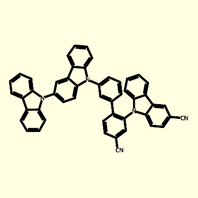 N#Cc1ccc(-c2cccc(-n3c4ccccc4c4cc(-n5c6ccccc6c6ccccc65)ccc43)c2)c(-n2c3ccccc3c3cc(C#N)ccc32)c1